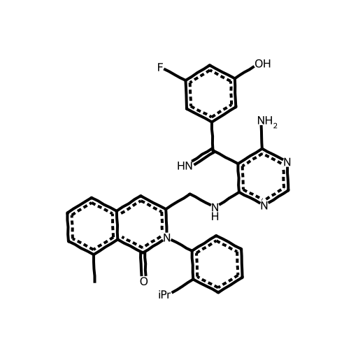 Cc1cccc2cc(CNc3ncnc(N)c3C(=N)c3cc(O)cc(F)c3)n(-c3ccccc3C(C)C)c(=O)c12